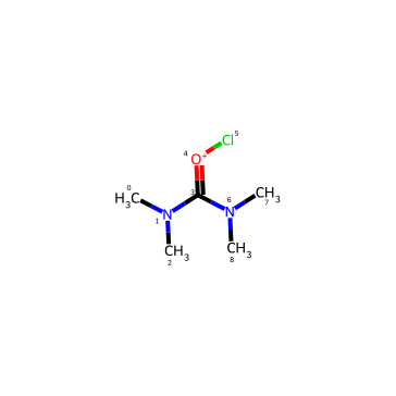 CN(C)C(=[O+]Cl)N(C)C